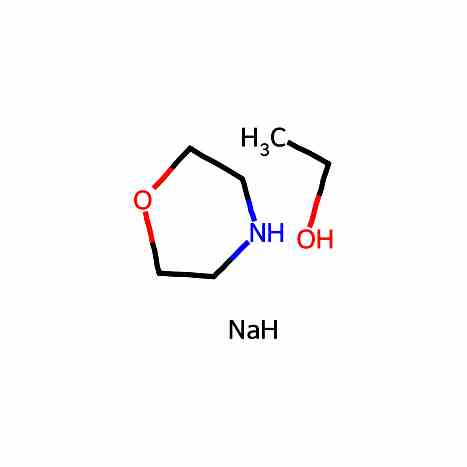 C1COCCN1.CCO.[NaH]